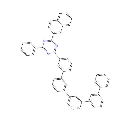 c1ccc(-c2cccc(-c3cccc(-c4cccc(-c5cccc(-c6nc(-c7ccccc7)nc(-c7ccc8ccccc8c7)n6)c5)c4)c3)c2)cc1